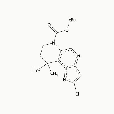 CC(C)(C)OC(=O)N1CCC(C)(C)c2c1cnc1cc(Cl)nn21